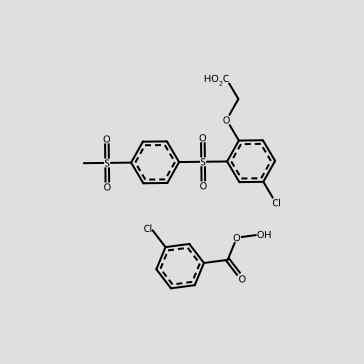 CS(=O)(=O)c1ccc(S(=O)(=O)c2cc(Cl)ccc2OCC(=O)O)cc1.O=C(OO)c1cccc(Cl)c1